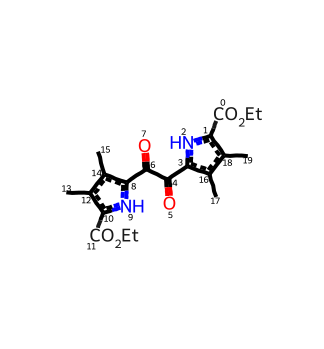 CCOC(=O)c1[nH]c(C(=O)C(=O)c2[nH]c(C(=O)OCC)c(C)c2C)c(C)c1C